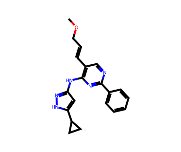 COCC=Cc1cnc(-c2ccccc2)nc1Nc1cc(C2CC2)[nH]n1